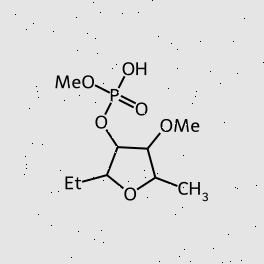 CCC1OC(C)C(OC)C1OP(=O)(O)OC